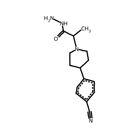 CC(C(=O)NN)N1CCC(c2ccc(C#N)cc2)CC1